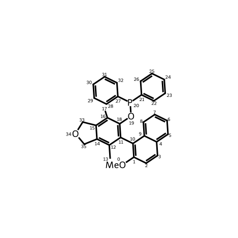 COc1ccc2ccccc2c1-c1c(C)c2c(c(C)c1OP(c1ccccc1)c1ccccc1)COC2